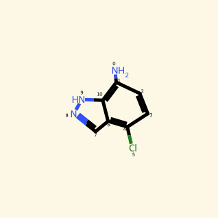 Nc1ccc(Cl)c2cn[nH]c12